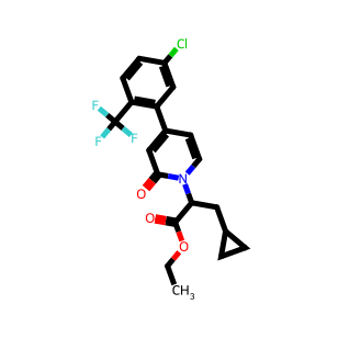 CCOC(=O)C(CC1CC1)n1ccc(-c2cc(Cl)ccc2C(F)(F)F)cc1=O